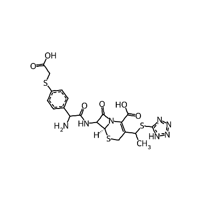 CC(Sc1nnn[nH]1)C1=C(C(=O)O)N2C(=O)C(NC(=O)C(N)c3ccc(SCC(=O)O)cc3)[C@@H]2SC1